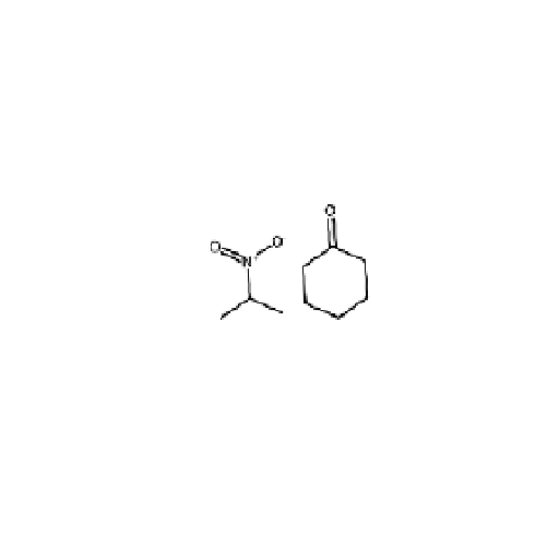 CC(C)[N+](=O)[O-].O=C1CCCCC1